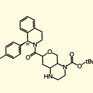 CC(C)(C)OC(=O)N1CCNC2CC(C(=O)N3CCc4ccccc4[C@@H]3c3ccc(F)cc3)OCC21